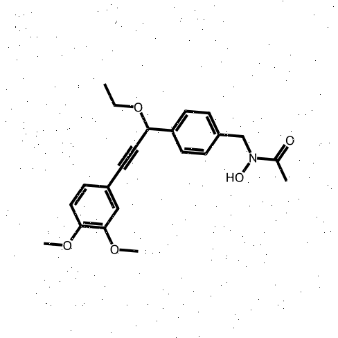 CCOC(C#Cc1ccc(OC)c(OC)c1)c1ccc(CN(O)C(C)=O)cc1